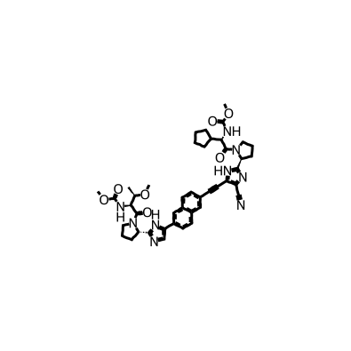 COC(=O)N[C@H](C(=O)N1CCC[C@H]1c1nc(C#N)c(C#Cc2ccc3cc(-c4cnc([C@@H]5CCCN5C(=O)[C@@H](NC(=O)OC)[C@@H](C)OC)[nH]4)ccc3c2)[nH]1)C1CCCC1